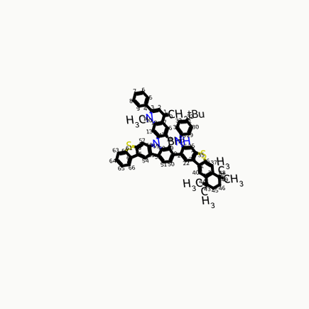 C=C1C=C(c2ccccc2)N(C)c2cc3c(cc21)Bc1c(-c2cc4c(cc2Nc2ccc(C(C)(C)C)cc2)sc2cc5c(cc24)C(C)(C)CCC5(C)C)ccc2c4cc5c(cc4n-3c12)sc1ccccc15